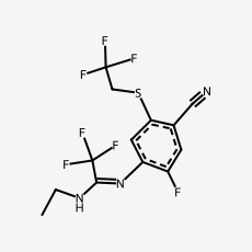 CCN/C(=N/c1cc(SCC(F)(F)F)c(C#N)cc1F)C(F)(F)F